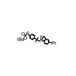 CC(C)c1ccc2c(cnn2CC(C)(C)c2ccc(N(C)C(=O)OC(C)(C)C)cc2)c1